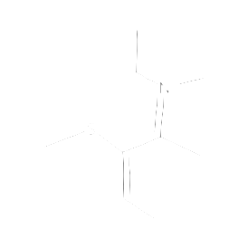 C/C=C(SC)\C(I)=[N+](\C)CC